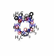 C=CC(C)(C)n1cc(C[C@@H]2NC(=O)[C@H](CC3CCC3)NC(=O)[C@H](CC(C)C)N3CC/C=C\C[C@@H](C3=O)N(C)C(=O)[C@H](C)NC(=O)[C@H](Cc3cc4ccccc4cn3)NC(=O)[C@H](CC(C)C)N(C)C2=O)c2ccccc21